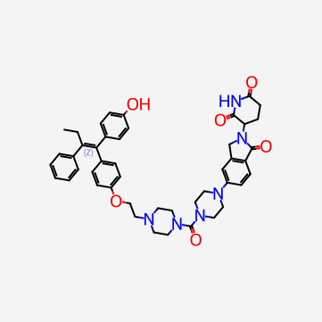 CC/C(=C(\c1ccc(O)cc1)c1ccc(OCCN2CCN(C(=O)N3CCN(c4ccc5c(c4)CN(C4CCC(=O)NC4=O)C5=O)CC3)CC2)cc1)c1ccccc1